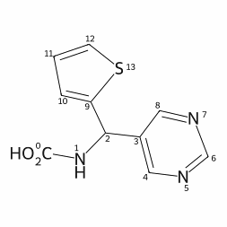 O=C(O)NC(c1cncnc1)c1cccs1